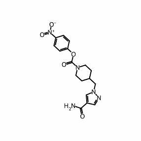 NC(=O)c1cnn(CC2CCN(C(=O)Oc3ccc([N+](=O)[O-])cc3)CC2)c1